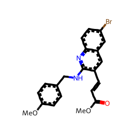 COC(=O)C=Cc1cc2cc(Br)ccc2nc1NCc1ccc(OC)cc1